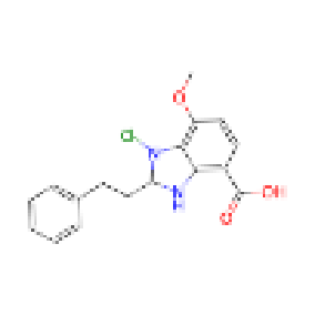 COc1ccc(C(=O)O)c2c1N(Cl)C(CCc1ccccc1)N2